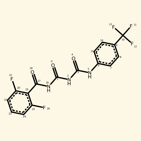 O=C(NC(=O)Nc1ccc(C(F)(F)F)cc1)NC(=O)c1c(F)cccc1F